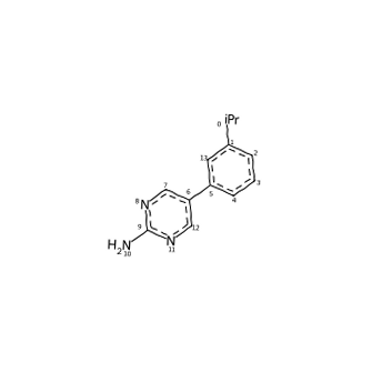 CC(C)c1cccc(-c2cnc(N)nc2)c1